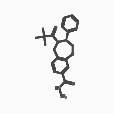 CC(C)(C)C(=O)N1Cc2ccc(C(=O)NN)cc2OC[C@@H]1c1ccccc1